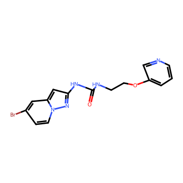 O=C(NCCOc1cccnc1)Nc1cc2cc(Br)ccn2n1